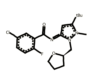 Cn1c(C(C)(C)C)cc(=NC(=O)c2cc(Cl)ccc2F)n1C[C@H]1CCCO1